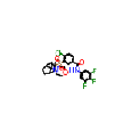 O=C(Nc1cc(F)c(F)c(F)c1)c1ccc(Cl)c(S(=O)(=O)[C@H]2CC3CCC(C2)[C@@H]3N2CCOCC2)c1